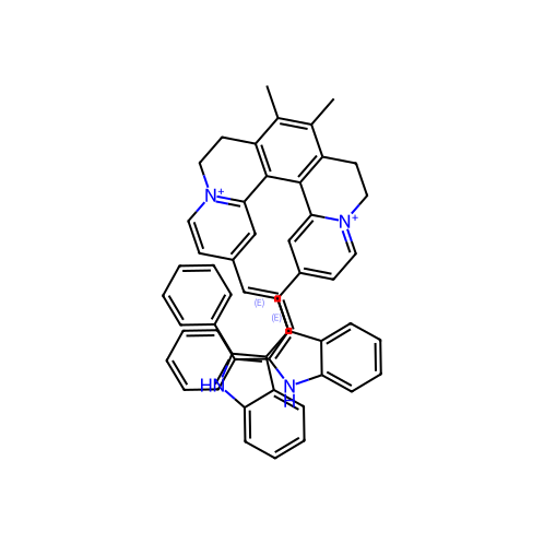 Cc1c(C)c2c(c3c1CC[n+]1ccc(/C=C/c4c(-c5ccccc5)[nH]c5ccccc45)cc1-3)-c1cc(/C=C/c3c(-c4ccccc4)[nH]c4ccccc34)cc[n+]1CC2